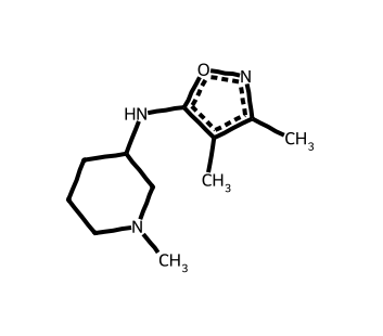 Cc1noc(NC2CCCN(C)C2)c1C